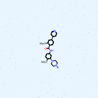 COc1cc(-c2ccncc2)ccc1C(=O)Nc1ccc(OC)c(N2CCN(C)CC2)c1